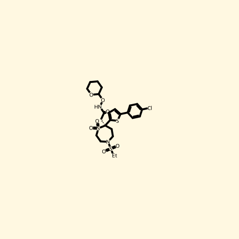 CCS(=O)(=O)N1CC[C@](CC(=O)NOC2CCCCO2)(c2ccc(-c3ccc(Cl)cc3)s2)S(=O)(=O)CC1